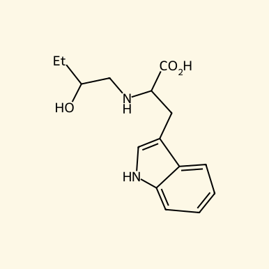 CCC(O)CNC(Cc1c[nH]c2ccccc12)C(=O)O